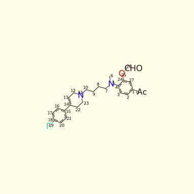 CC(=O)c1ccc(N(C)CCCCN2CC=C(c3ccc(F)cc3)CC2)c(OC=O)c1